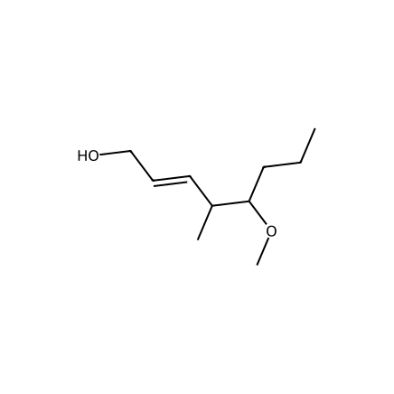 CCCC(OC)C(C)C=CCO